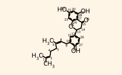 CC(C)=CCCC(C)=CCc1cc(C2CC(=O)c3c(O)cc(O)cc3O2)ccc1O